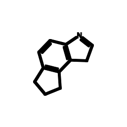 C1=Nc2ccc3c(c2C1)CCC3